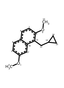 COc1ccc2ccc(OC)c([CH]C3CC3)c2c1